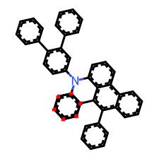 c1ccc(-c2ccc(N(c3ccccc3)c3cccc4c3c(-c3ccccc3)c(-c3ccccc3)c3ccccc34)cc2-c2ccccc2)cc1